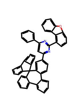 c1ccc(-c2cc(-c3ccc4c(c3)C3(c5ccccc5-c5ccccc5-4)c4ccccc4-c4ccccc43)nc(-c3cccc4oc5ccccc5c34)n2)cc1